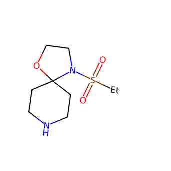 CCS(=O)(=O)N1CCOC12CCNCC2